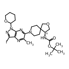 Cc1nc2c(I)nn(C3CCCCO3)c2nc1N1CCC2(CC1)COC[C@H]2NC(=O)OC(C)(C)C